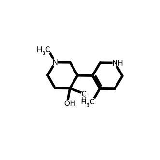 CC1=C(C2CN(C)CCC2(C)O)CNCC1